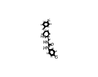 O=C(NC[C@@H]1CC[C@@H](Cc2ccc(F)cc2)CN1)Nc1ccc(Cl)cc1